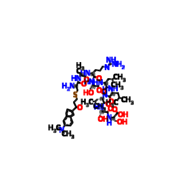 CC(C)C[C@H](NC(=O)[C@H](CC(C)C)NC(=O)[C@H](CC(C)C)NC(=O)[C@H](CO)NC(=O)[C@H](CCCN=C(N)N)NC(=O)[C@H](C)NC(=O)[C@@H](N)CSCCC(=O)c1ccc2cc(N(C)C)ccc2c1)C(=O)N[C@@H](CO)C(=O)N[C@@H](CO)C(=O)O